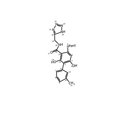 CCCCCc1cc(O)c(-c2cccc(C)c2)c(O)c1C(=O)NCc1nnn[nH]1